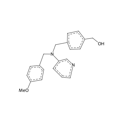 COc1ccc(CN(Cc2ccc(CO)cc2)c2cccnc2)cc1